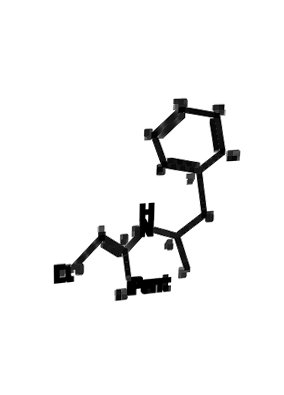 CC/C=C(/NC(C)Cc1ccccc1)C(C)CCC